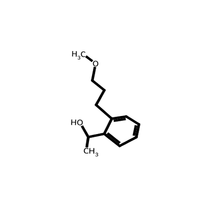 COCCCc1ccccc1C(C)O